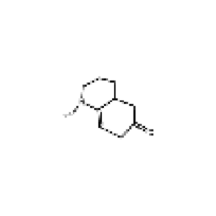 CCCN1CCCC2CC(=O)CC=C21